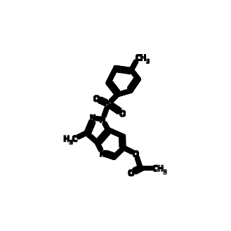 CC(=O)Oc1cnc2c(C)nn(S(=O)(=O)c3ccc(C)cc3)c2c1